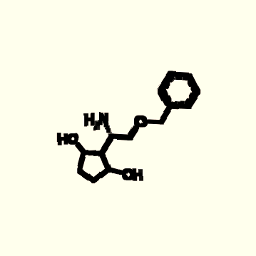 N[C@H](COCc1ccccc1)C1C(O)CCC1O